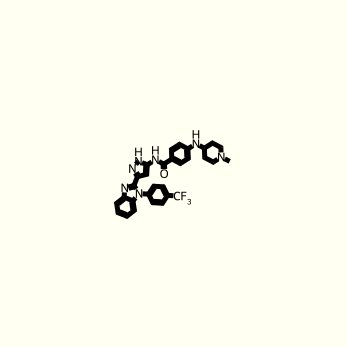 CN1CCC(Nc2ccc(C(=O)Nc3cc(-c4nc5ccccc5n4-c4ccc(C(F)(F)F)cc4)n[nH]3)cc2)CC1